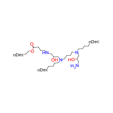 CCCCCCCCCCCCCCN(CCCCN(CCCCCCCCCCCCCC)CC(O)CNCCCC(=O)OCCCCCCCCCCCC)CC(O)CN